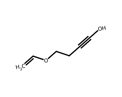 C=COCCC#CO